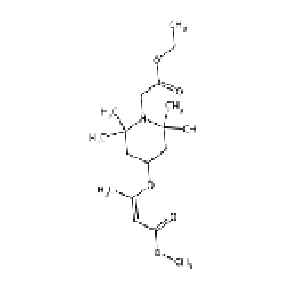 CCOC(=O)CN1C(C)(C)CC(O/C(C)=C\C(=O)OC)CC1(C)C